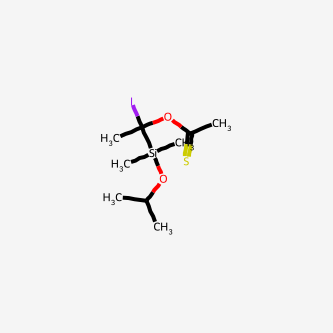 CC(=S)OC(C)(I)[Si](C)(C)OC(C)C